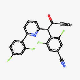 C#CC(=O)C(c1cccc(-c2ccc(F)cc2F)n1)c1c(F)cc(C#N)cc1F